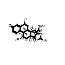 CCCC1O[C@@H]2C[C@H]3[C@@H]4C[C@H](F)C5=CC(=O)C=C[C@]5(C)[C@@]4(F)[C@@H](O)C[C@]3(C)[C@]2(C(=O)CNC)O1